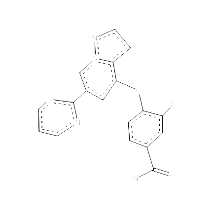 NC(=O)c1ccc(Oc2cc(-c3ncccn3)cn3nccc23)c(F)c1